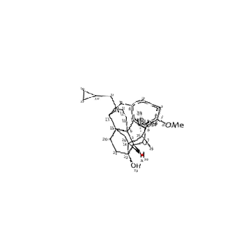 COc1ccc2c3c1O[C@H]1C34CCN(CC3CC3)C(C2)C42CC[C@]1(O)[C@@H]([C@](C)(O)C(C)(C)C)C2